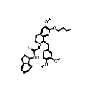 CCCCOc1cc2c(cc1OC)CCN(CC(=O)NC1CCc3ccccc31)C2Cc1ccc(OC)c(OC)c1